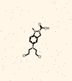 CN1c2ccc(N(CCCl)CCCl)cc2CN1C(=O)O